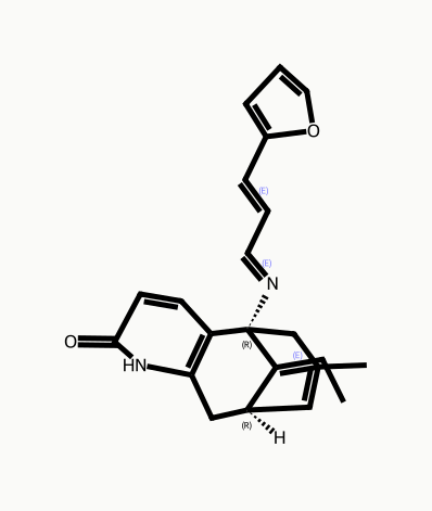 C/C=C1\[C@H]2C=C(C)C[C@]1(/N=C/C=C/c1ccco1)c1ccc(=O)[nH]c1C2